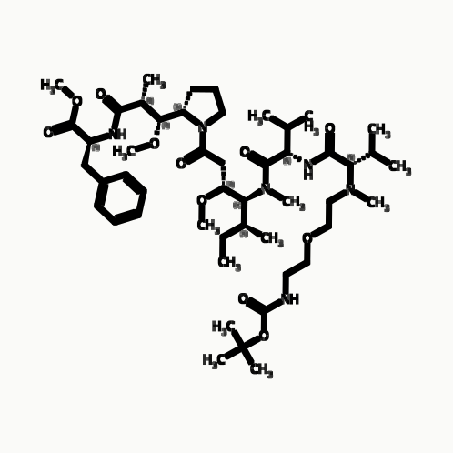 CC[C@H](C)[C@@H]([C@@H](CC(=O)N1CCC[C@H]1[C@H](OC)[C@@H](C)C(=O)N[C@@H](Cc1ccccc1)C(=O)OC)OC)N(C)C(=O)[C@@H](NC(=O)[C@H](C(C)C)N(C)CCOCCNC(=O)OC(C)(C)C)C(C)C